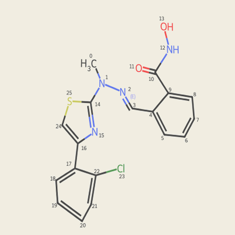 CN(/N=C/c1ccccc1C(=O)NO)c1nc(-c2ccccc2Cl)cs1